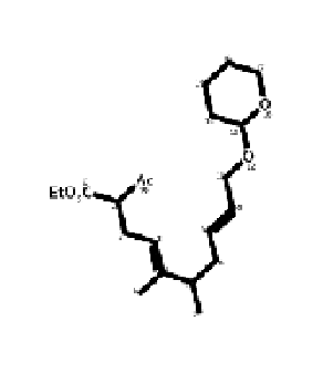 CCOC(=O)C(CC=C(C)C(C)CC=CCOC1CCCCO1)C(C)=O